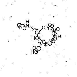 CO[C@@H]1C[C@H](/C=C(\C)[C@H]2OC(=O)[C@@H]3CCCCN3C(=O)C(=O)[C@]3(O)O[C@H]([C@@H](C=O)C[C@@H](C=O)C/C(C)=C/[C@@H](CCCSCCNC(=O)Cc4ccccn4)C(=O)C[C@H](O)[C@H]2C)[C@@H](C=O)C[C@H]3C)CC[C@H]1O